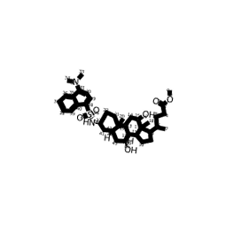 COC(=O)CCC(C)C1CCC2[C@@H]3C(CC(O)C12C)C1(C)CC[C@@H](NS(=O)(=O)c2ccc(N(C)C)c4ccccc24)C[C@H]1C[C@@H]3O